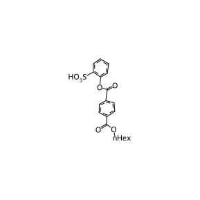 CCCCCCOC(=O)c1ccc(C(=O)Oc2ccccc2S(=O)(=O)O)cc1